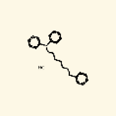 Cl.c1ccc(CCCCCCCP(c2ccccc2)c2ccccc2)cc1